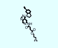 C#Cc1ccc2c(c1)N(c1ncnc3cnc(NC(=O)C=CC(=O)OCCCN(C)C)cc13)CC2